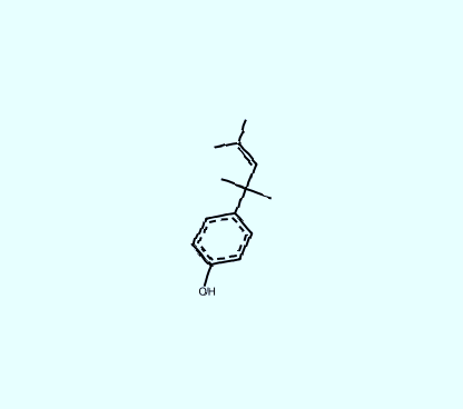 CC(C)=CC(C)(C)c1ccc(O)cc1